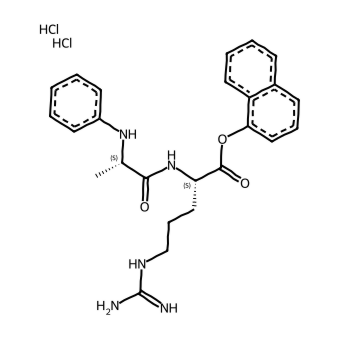 C[C@H](Nc1ccccc1)C(=O)N[C@@H](CCCNC(=N)N)C(=O)Oc1cccc2ccccc12.Cl.Cl